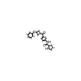 O=C(Nc1ccc(C(=O)N2CC(Oc3ccncc3)C2)s1)C1CCCN1